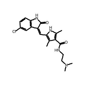 Cc1[nH]c(C=C2C(=O)Nc3ccc(Cl)cc32)c(C)c1C(=O)NCCN(C)C